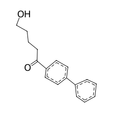 O=C(CCCCO)c1ccc(-c2ccccc2)cc1